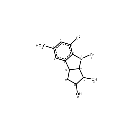 CC(C)N1c2c(Br)cc(C(=O)O)cc2C2CC(O)C(O)C21